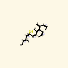 C=C(/C=C\C)C(/C=C\C)=C(C)/C=C\C(S)=C/C(C)=C/C